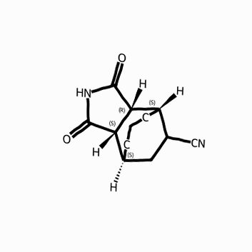 N#CC1C[C@@H]2CCC[C@@H]1[C@H]1C(=O)NC(=O)[C@@H]21